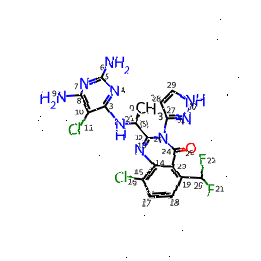 C[C@H](Nc1nc(N)nc(N)c1Cl)c1nc2c(Cl)ccc(C(F)F)c2c(=O)n1-c1cc[nH]n1